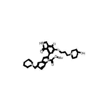 CC(C)(C)OC(=O)n1c(-c2cc(OCCCN3CCC(O)CC3)c(Cl)c3c2C(=O)NC3)cc2cc(CN3CCCCC3)ccc21